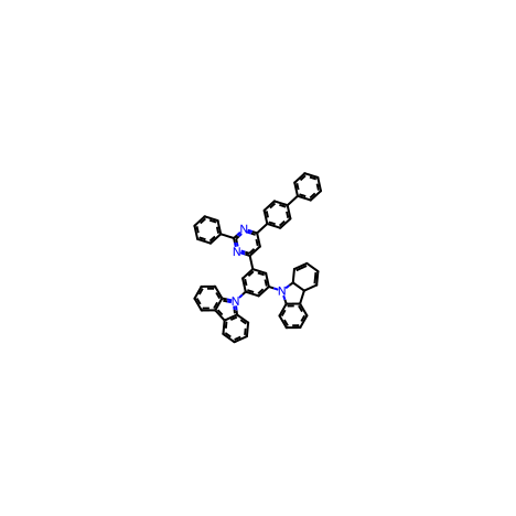 C1=CC2c3ccccc3N(c3cc(-c4cc(-c5ccc(-c6ccccc6)cc5)nc(-c5ccccc5)n4)cc(-n4c5ccccc5c5ccccc54)c3)C2C=C1